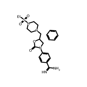 CCS(=O)(=O)N1CCN(CC2CN(c3ccc(C(=N)N)cc3)C(=O)O2)CC1.c1ccccc1